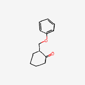 O=C1CCCCC1COc1ccccc1